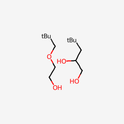 CC(C)(C)CC(O)CO.CC(C)(C)COCCO